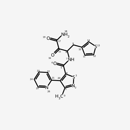 Cc1nsc(C(=O)NC(Cc2ccsc2)C(=O)C(N)=O)c1-c1ccccn1